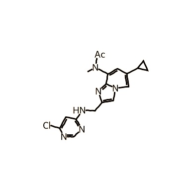 CC(=O)N(C)c1cc(C2CC2)cn2cc(CNc3cc(Cl)ncn3)nc12